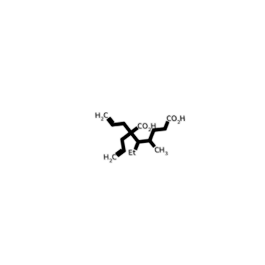 C=CCC(CC=C)(C(=O)O)C(CC)C(C)CCC(=O)O